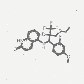 CCSCC(O)(C(Nc1cccc2[nH]c(=O)ccc12)c1ccc(OC)cc1F)C(F)(F)F